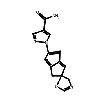 NC(=O)c1cnn(C2=CC3=CC4(CN=CO4)CC3=C2)c1